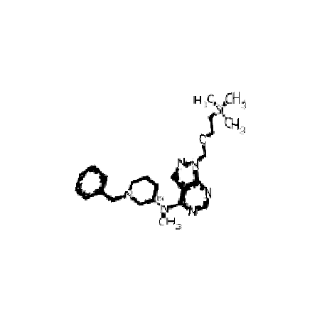 CN(c1ncnc2c1cnn2COCC[Si](C)(C)C)[C@H]1CCCN(Cc2ccccc2)C1